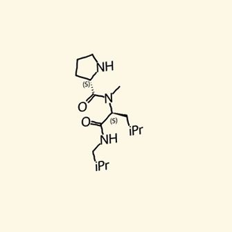 CC(C)CNC(=O)[C@H](CC(C)C)N(C)C(=O)[C@@H]1CCCN1